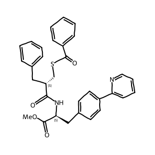 COC(=O)[C@H](Cc1ccc(-c2ccccn2)cc1)NC(=O)[C@@H](CSC(=O)c1ccccc1)Cc1ccccc1